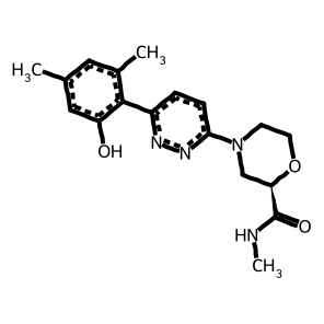 CNC(=O)[C@H]1CN(c2ccc(-c3c(C)cc(C)cc3O)nn2)CCO1